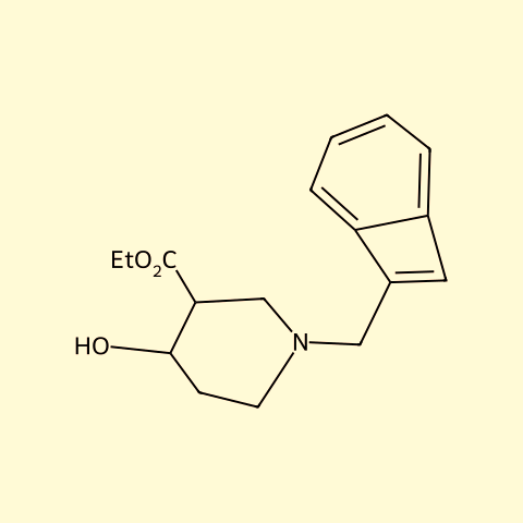 CCOC(=O)C1CN(CC2=Cc3ccccc32)CCC1O